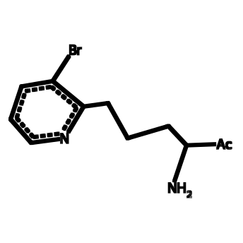 CC(=O)C(N)CCCc1ncccc1Br